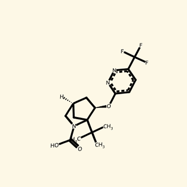 CC(C)(C)C12C[C@H](C[C@H]1Oc1ccc(C(F)(F)F)nn1)CN2C(=O)O